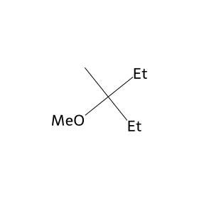 [CH]OC(C)(CC)CC